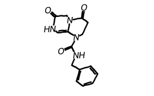 O=C1CN2C(=O)CCN(C(=O)NCc3ccccc3)C2=CN1